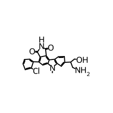 Cn1c2cc(C(CN)CO)ccc2c2c3c(c(-c4ccccc4Cl)cc21)C(=O)NC3=O